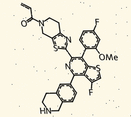 C=CC(=O)N1CCc2nc(-c3nc(-c4ccc5c(c4)CCNC5)c4c(F)csc4c3-c3ccc(F)cc3OC)sc2C1